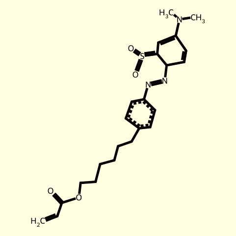 C=CC(=O)OCCCCCCc1ccc(N=NC2C=CC(N(C)C)=CC2=S(=O)=O)cc1